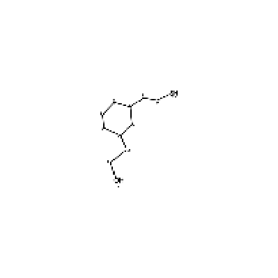 OCCC1CCCC(CCS)C1